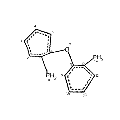 Pc1ccccc1Oc1ccccc1P